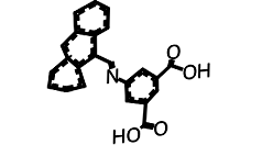 O=C(O)c1cc(N=Cc2c3ccccc3cc3ccccc23)cc(C(=O)O)c1